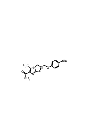 Cc1c(C(N)=O)nc2n1C[C@@H](COc1ccc(C(C)(C)C)cc1)O2